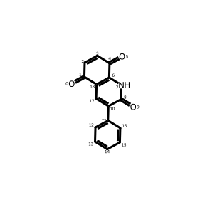 O=C1C=CC(=O)c2[nH]c(=O)c(-c3ccccc3)cc21